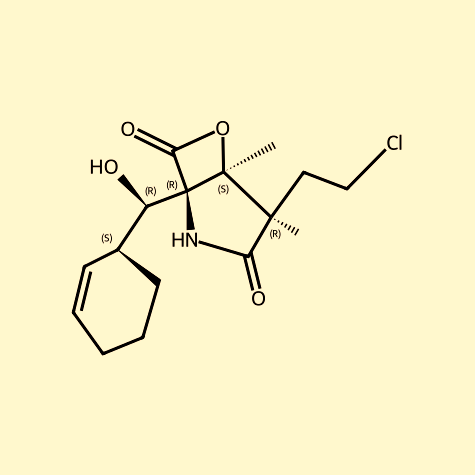 C[C@@]12OC(=O)[C@]1([C@H](O)[C@@H]1C=CCCC1)NC(=O)[C@]2(C)CCCl